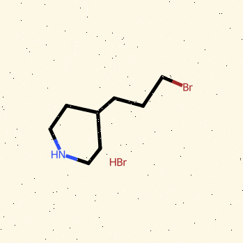 Br.BrCCCC1CCNCC1